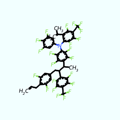 C=CCc1c(F)cc(CC(c2c(F)c(F)c(C(F)(F)F)c(F)c2F)C(C)c2c(F)c(F)c(N(c3cc(F)c(F)c(F)c3)c3c(F)c(F)c(C(F)(F)F)c(F)c3C(=C)C)c(F)c2F)cc1F